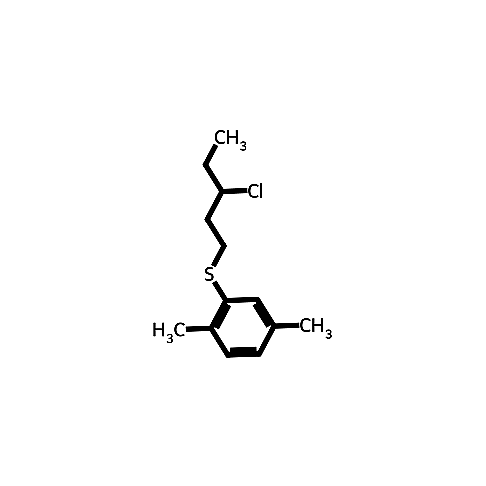 CCC(Cl)CCSc1cc(C)ccc1C